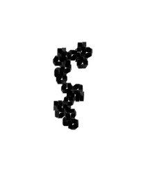 N#Cc1cc(-n2c3ccccc3c3c4oc5ccccc5c4ccc32)c(C#N)cc1-n1c2ccccc2c2cc(-c3ccc4oc5c(ccc6c5c5ccccc5n6-c5cc(-n6c7ccccc7c7ccccc76)c(C#N)cc5C#N)c4c3)ccc21